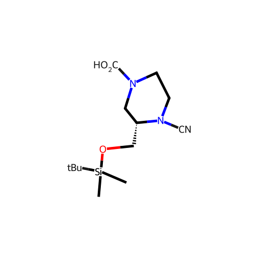 CC(C)(C)[Si](C)(C)OC[C@@H]1CN(C(=O)O)CCN1C#N